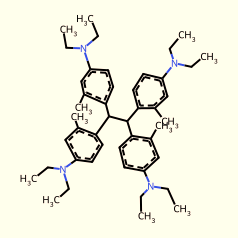 CCN(CC)c1ccc(C(c2ccc(N(CC)CC)cc2C)C(c2ccc(N(CC)CC)cc2C)c2ccc(N(CC)CC)cc2C)c(C)c1